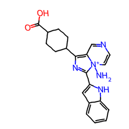 N[N+]12C=CN=CC1=C(C1CCC(C(=O)O)CC1)N=C2c1cc2ccccc2[nH]1